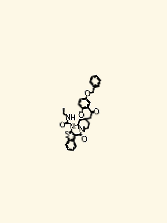 CCNC(=O)Nc1sc2ccccc2c1C(=O)N1CCC2(CC1)CC(=O)c1cc(OCc3ccccc3)ccc1O2